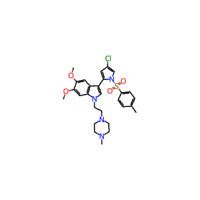 COc1cc2c(-c3cc(Cl)cn3S(=O)(=O)c3ccc(C)cc3)cn(CCN3CCN(C)CC3)c2cc1OC